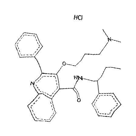 CCC(NC(=O)c1c(OCCCN(C)C)c(-c2ccccc2)nc2ccccc12)c1ccccc1.Cl